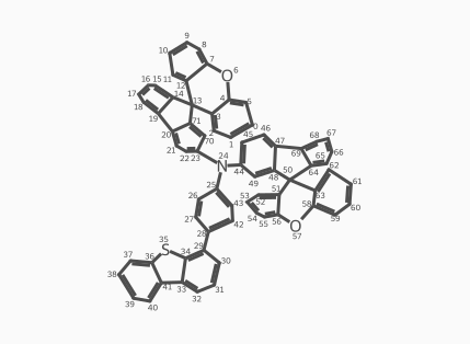 c1ccc2c(c1)Oc1ccccc1C21c2ccccc2-c2ccc(N(c3ccc(-c4cccc5c4sc4ccccc45)cc3)c3ccc4c(c3)C3(c5ccccc5Oc5ccccc53)c3ccccc3-4)cc21